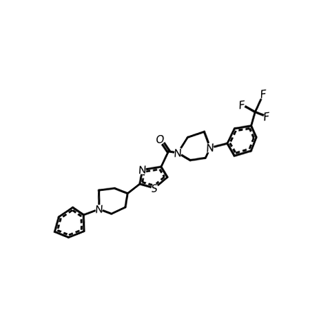 O=C(c1csc(C2CCN(c3ccccc3)CC2)n1)N1CCN(c2cccc(C(F)(F)F)c2)CC1